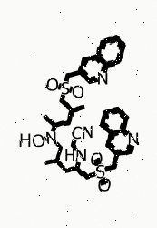 CC(CC(CS(=O)(=O)Cc1cnc2ccccc2c1)NCC#N)CN(O)C(C)CC(C)CS(=O)(=O)Cc1cnc2ccccc2c1